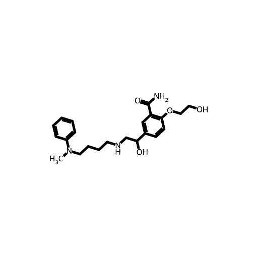 CN(CCCCNCC(O)c1ccc(OCCO)c(C(N)=O)c1)c1ccccc1